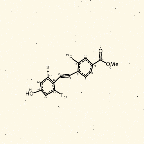 COC(=O)c1ccc(C#Cc2c(F)cc(O)cc2F)c(F)c1